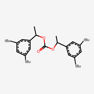 CC(OC(=O)OC(C)c1cc(C(C)(C)C)cc(C(C)(C)C)c1)c1cc(C(C)(C)C)cc(C(C)(C)C)c1